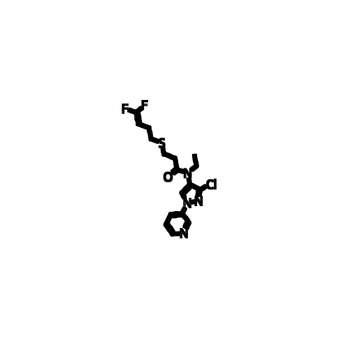 CCN(C(=O)CCSCCC=C(F)F)c1cn(-c2cccnc2)nc1Cl